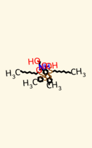 CCCCCCCCCCSc1c(Sc2ccc(C)cc2)c(Sc2ccc(C)cc2)c(SCCCCCCCCCC)c(C(=O)NCCO)c1C(=O)O